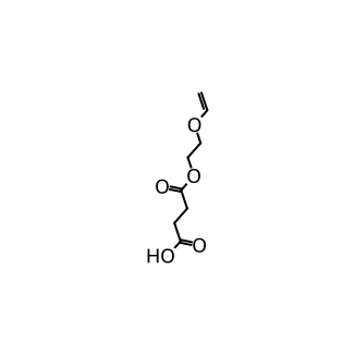 C=COCCOC(=O)CCC(=O)O